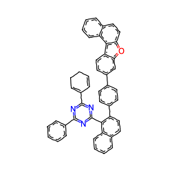 C1=CC(c2nc(-c3ccccc3)nc(-c3c(-c4ccc(-c5ccc6c(c5)oc5ccc7ccccc7c56)cc4)ccc4ccccc34)n2)=CCC1